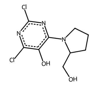 OCC1CCCN1c1nc(Cl)nc(Cl)c1O